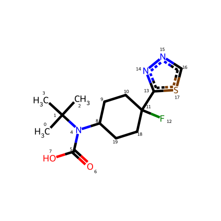 CC(C)(C)N(C(=O)O)C1CCC(F)(c2nncs2)CC1